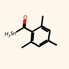 Cc1cc(C)c([C](=O)[SnH3])c(C)c1